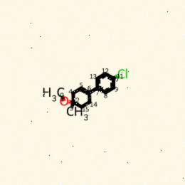 COC1(C)CC=C(c2ccc(Cl)cc2)CC1